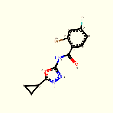 O=C(Nc1nnc(C2CC2)o1)c1ccc(F)cc1Br